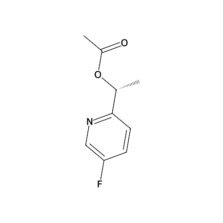 CC(=O)O[C@H](C)c1ccc(F)cn1